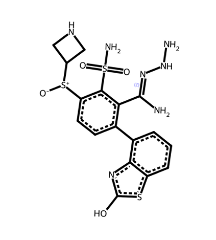 NN/N=C(\N)c1c(-c2cccc3sc(O)nc23)ccc([S+]([O-])C2CNC2)c1S(N)(=O)=O